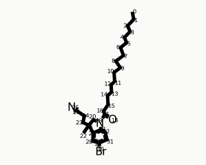 CCCCCCCCCCCCCCCCCC(=O)N1CC(C)(CCC#N)c2cc(Br)ccc21